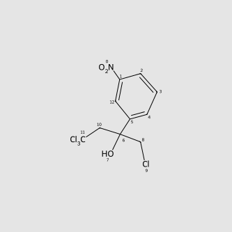 O=[N+]([O-])c1cccc(C(O)(CCl)CC(Cl)(Cl)Cl)c1